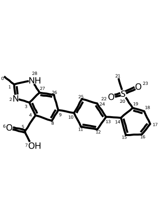 Cc1nc2c(C(=O)O)cc(-c3ccc(-c4ccccc4S(C)(=O)=O)cc3)cc2[nH]1